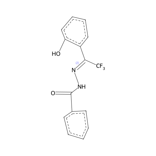 O=C(N/N=C(/c1ccccc1O)C(F)(F)F)c1ccccc1